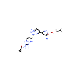 [C-]#[N+]c1cc(-c2ccc3nnc(Sc4ccc5nc(NC(=O)C6CC6)cn5n4)n3c2)cnc1OCOCC[Si](C)(C)C